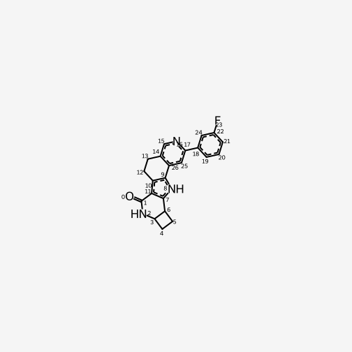 O=C1NC2CCC2c2[nH]c3c(c21)CCc1cnc(-c2cccc(F)c2)cc1-3